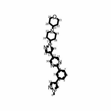 Cn1cc(-c2cccc(-c3ncc(-c4cnn(C5CCN(C6CCOCC6)CC5)c4)cn3)c2)cn1